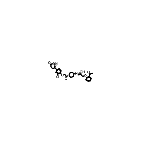 CC(=O)c1ccccc1OCC(O)CNC1CCN(C(=O)COc2ccc(C3=NNC(=O)CC3)cc2Cl)CC1